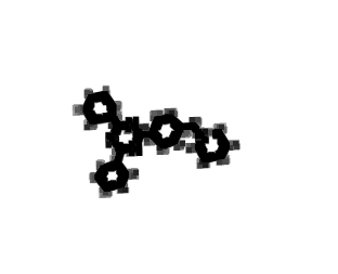 c1ccc(-c2nc(-c3ccccc3)nc(-c3ccc(C[n+]4ccccc4)cc3)n2)cc1